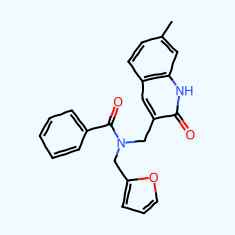 Cc1ccc2cc(CN(Cc3ccco3)C(=O)c3ccccc3)c(=O)[nH]c2c1